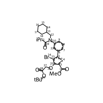 COC(=O)c1sc(-c2cccc(N(CC3CCCCC3)C(=O)C(C)C)c2)c(Br)c1OCC(=O)OC(C)(C)C